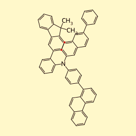 CC1(C)c2ccccc2-c2cc(-c3ccccc3N(c3ccc(-c4cccc5c4ccc4ccccc45)cc3)c3ccc4cc(-c5ccccc5)ccc4c3)ccc21